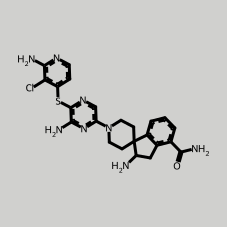 NC(=O)c1cccc2c1CC(N)C21CCN(c2cnc(Sc3ccnc(N)c3Cl)c(N)n2)CC1